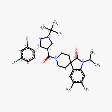 Cc1cc2c(cc1C)C1(CCN(C(=O)[C@@H]3CN(C(C)(C)C)C[C@H]3c3ccc(F)cc3F)CC1)C(=O)N2C(C)C